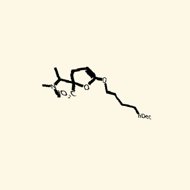 CCCCCCCCCCCCCCOC1=CCC(C(=O)O)(C(C)N(C)C)O1